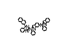 c1ccc2cc(-c3nc(-n4c5ccccc5n5c6cc(-n7c8ccccc8n8c9ccccc9cc78)ccc6cc45)nc4ccccc34)ccc2c1